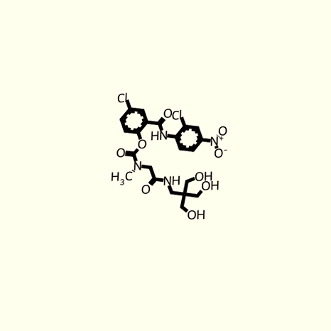 CN(CC(=O)NCC(CO)(CO)CO)C(=O)Oc1ccc(Cl)cc1C(=O)Nc1ccc([N+](=O)[O-])cc1Cl